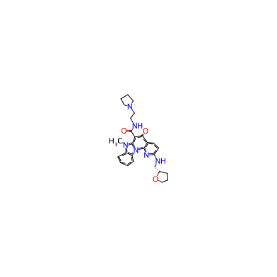 Cn1c2ccccc2n2c3nc(NC[C@@H]4CCCO4)ccc3c(=O)c(C(=O)NCCN3CCCC3)c12